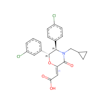 O=C(O)/C=C1\O[C@H](c2cccc(Cl)c2)[C@@H](c2ccc(Cl)cc2)N(CC2CC2)C1=O